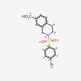 O=C(O)c1ccc2c(c1)CN(S(=O)(=O)c1ccc(Br)cc1)CC2